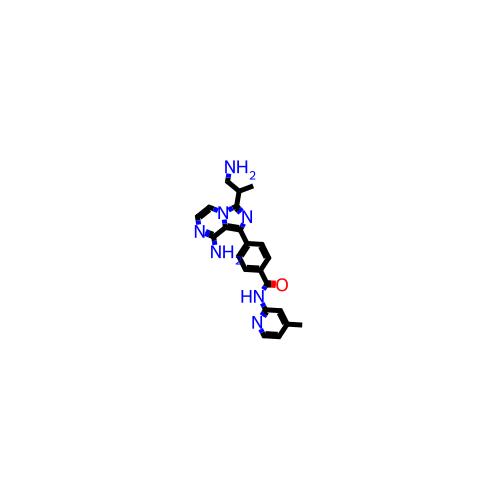 Cc1ccnc(NC(=O)c2ccc(-c3nc(C(C)CN)n4ccnc(N)c34)cc2)c1